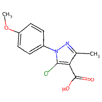 COc1ccc(-n2nc(C)c(C(=O)O)c2Cl)cc1